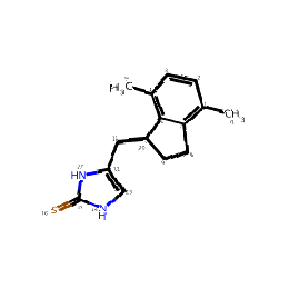 Cc1ccc(C)c2c1CCC2Cc1c[nH]c(=S)[nH]1